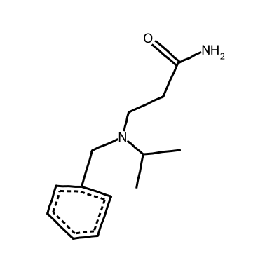 CC(C)N(CCC(N)=O)Cc1ccccc1